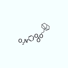 O=C(OCCC12CC3CC(CC(C3)C1)C2)Oc1ccc([N+](=O)[O-])cc1